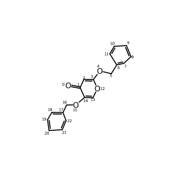 O=c1cc(OCc2ccccc2)occ1OCc1ccccc1